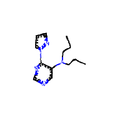 CCCN(CCC)c1cncnc1-n1cccn1